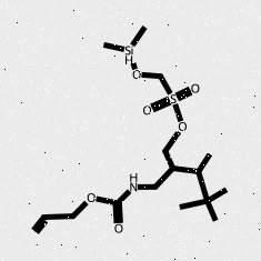 C=CCOC(=O)NCC(COS(=O)(=O)CO[SiH](C)C)C(C)C(C)(C)C